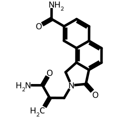 C=C(CN1Cc2c(ccc3ccc(C(N)=O)cc23)C1=O)C(N)=O